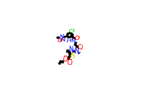 CCCOC(=O)c1sc(N(C)C(=O)CCNC(=O)c2cc(Cl)cc(-c3noc(C)n3)c2)nc1C